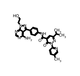 Cc1ccc(-n2nc(C(C)C)cc(C(=O)Nc3ccc(-c4nn(CCO)c5ncnc(N)c45)cc3)c2=O)nc1